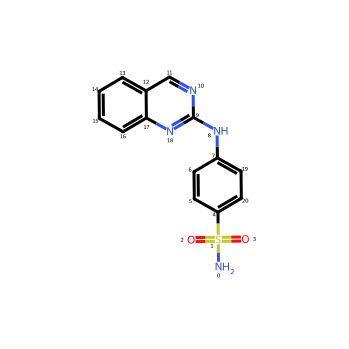 NS(=O)(=O)c1ccc(Nc2ncc3ccccc3n2)cc1